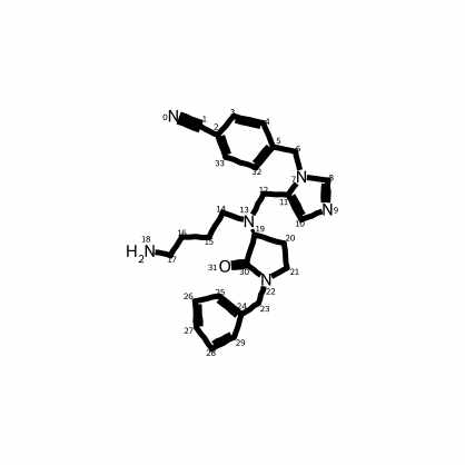 N#Cc1ccc(Cn2cncc2CN(CCCCN)[C@@H]2CCN(Cc3ccccc3)C2=O)cc1